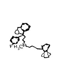 CN(CCCc1cccc2c1OCCO2)CCCC1(c2ccc(F)cc2)OCc2ccccc21